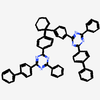 c1ccc(-c2ccc(-c3nc(-c4ccccc4)nc(-c4ccc(C5(c6ccc(-c7nc(-c8ccccc8)nc(-c8ccc(-c9ccccc9)cc8)n7)cc6)CCCCC5)cc4)n3)cc2)cc1